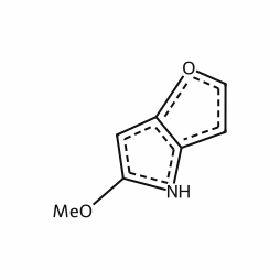 COc1cc2occc2[nH]1